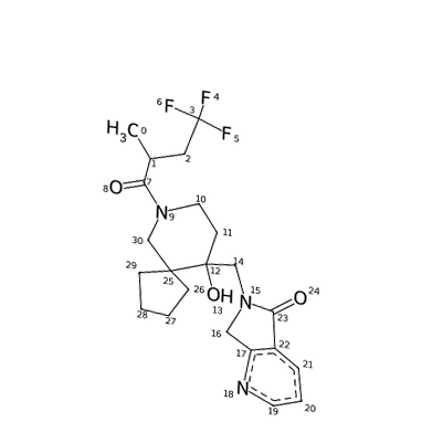 CC(CC(F)(F)F)C(=O)N1CCC(O)(CN2Cc3ncccc3C2=O)C2(CCCC2)C1